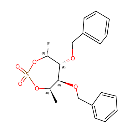 C[C@H]1OS(=O)(=O)O[C@H](C)[C@H](OCc2ccccc2)[C@H]1OCc1ccccc1